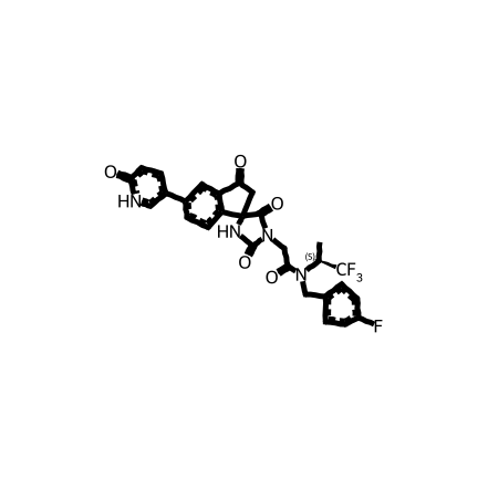 C[C@H](N(Cc1ccc(F)cc1)C(=O)CN1C(=O)NC2(CC(=O)c3cc(-c4ccc(=O)[nH]c4)ccc32)C1=O)C(F)(F)F